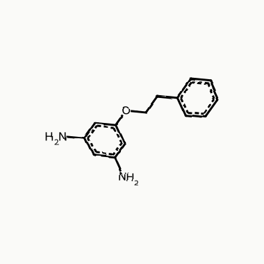 Nc1cc(N)cc(OCCc2ccccc2)c1